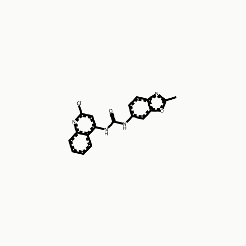 Cc1nc2ccc(NC(=O)Nc3cc(Cl)nc4ccccc34)cc2o1